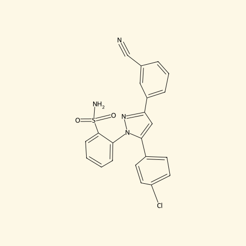 N#Cc1cccc(-c2cc(-c3ccc(Cl)cc3)n(-c3ccccc3S(N)(=O)=O)n2)c1